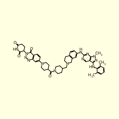 Cc1cccc(C)c1Nc1nn(C)c2nc(Nc3ccc4c(c3)CN(CC3CCN(C(=O)C5CCN(c6ccc7c(=O)n(C8CCC(=O)NC8=O)nnc7c6)CC5)CC3)CC4)ncc12